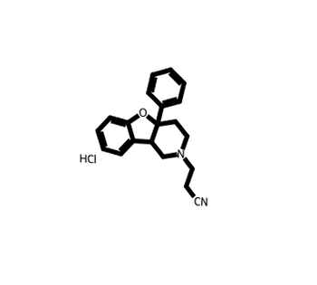 Cl.N#CCCN1CCC2(c3ccccc3)Oc3ccccc3C2C1